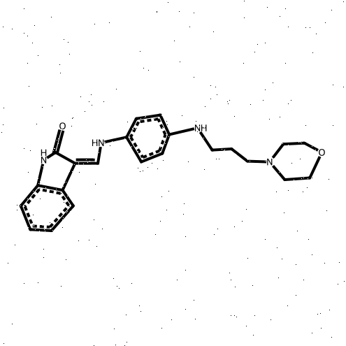 O=C1Nc2ccccc2/C1=C/Nc1ccc(NCCCN2CCOCC2)cc1